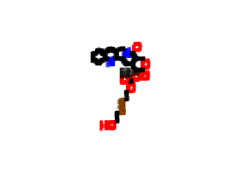 CC[C@@]1(OC(=O)OCCSSCCO)C(=O)OCc2c1cc1n(c2=O)Cc2cc3ccccc3nc2-1